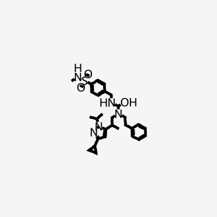 CNS(=O)(=O)c1ccc(CNC(O)N(CCc2ccccc2)CC(C)c2cc(C3CC3)nn2C(C)C)cc1